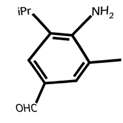 Cc1cc(C=O)cc(C(C)C)c1N